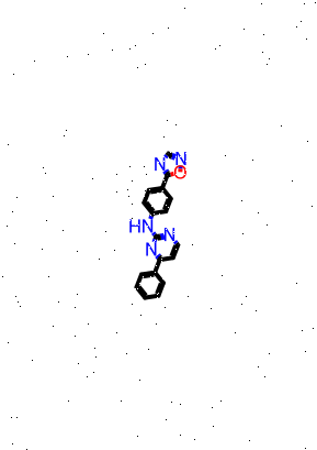 c1ccc(-c2ccnc(Nc3ccc(-c4ncno4)cc3)n2)cc1